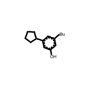 CCC(C)c1cc(O)cc(C2CCCC2)c1